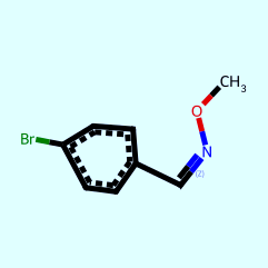 CO/N=[C]\c1ccc(Br)cc1